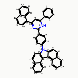 C1=C(c2ccccc2)NC(c2ccc(-n3c4ccc5ccccc5c4c4c5ccccc5ccc43)cc2)N=C1c1cccc2ccccc12